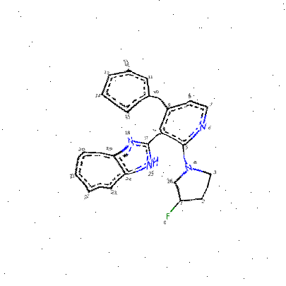 FC1CCN(c2nccc(-c3ccccc3)c2-c2nc3ccccc3[nH]2)C1